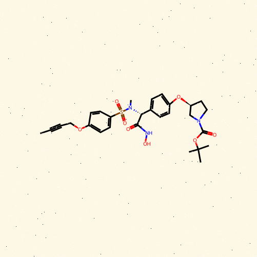 CC#CCOc1ccc(S(=O)(=O)N(C)[C@@H](C(=O)NO)c2ccc(O[C@H]3CCN(C(=O)OC(C)(C)C)C3)cc2)cc1